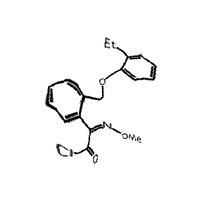 CCc1ccccc1OCc1ccccc1C(=NOC)C(=O)Cl